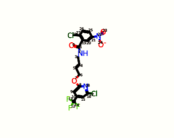 O=C(NC/C=C/COc1cc(C(F)(F)F)cc(Cl)n1)c1cc([N+](=O)[O-])ccc1Cl